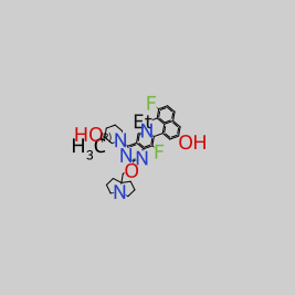 CCc1c(F)ccc2cc(O)cc(-c3ncc4c(N5CCC[C@@](C)(O)C5)nc(OCC56CCCN5CCC6)nc4c3F)c12